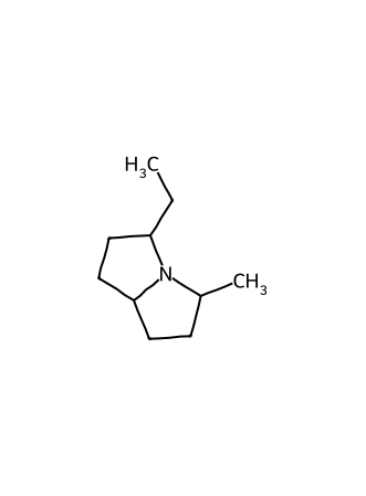 CCC1CCC2CCC(C)N12